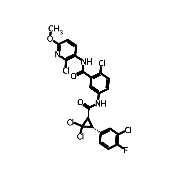 COc1ccc(NC(=O)c2cc(NC(=O)[C@H]3[C@H](c4ccc(F)c(Cl)c4)C3(Cl)Cl)ccc2Cl)c(Cl)n1